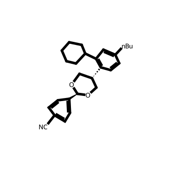 CCCCc1ccc([C@H]2CO[C@H](c3ccc(C#N)cc3)OC2)c(C2CCCCC2)c1